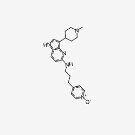 CN1CCC(c2c[nH]c3ccc(NCCCc4cc[n+]([O-])cc4)nc23)CC1